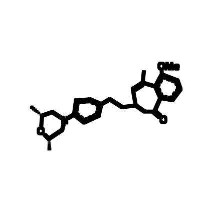 COc1cccc2c1C(C)=CC(CCc1ccc(N3C[C@@H](C)O[C@@H](C)C3)cc1)CC2=O